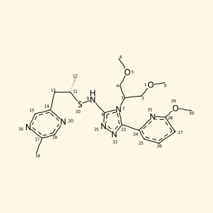 COCC(COC)n1c(NS[C@@H](C)Cc2cnc(C)cn2)nnc1-c1cccc(OC)n1